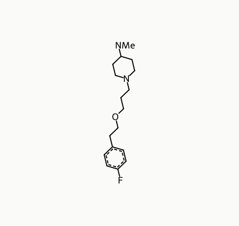 CNC1CCN(CCCOCCc2ccc(F)cc2)CC1